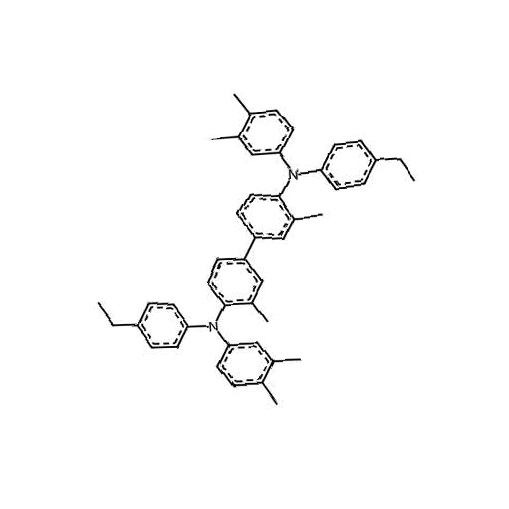 CCc1ccc(N(c2ccc(C)c(C)c2)c2ccc(-c3ccc(N(c4ccc(CC)cc4)c4ccc(C)c(C)c4)c(C)c3)cc2C)cc1